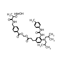 Cc1ccc(NC(=O)Nc2cc(CCC(=O)OCOC(=O)c3ccc(CNC(=O)C(C)ONO)cc3)ccc2N(CC(C)C)CC(C)C)cc1